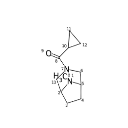 CN1C2CCC1CN(C(=O)C1CC1)C2